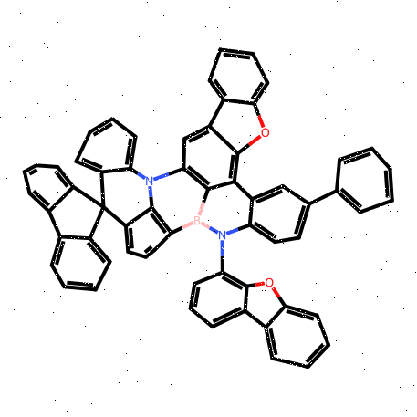 c1ccc(-c2ccc3c(c2)-c2c4c(cc5c2oc2ccccc25)N2c5ccccc5C5(c6ccccc6-c6ccccc65)c5cccc(c52)B4N3c2cccc3c2oc2ccccc23)cc1